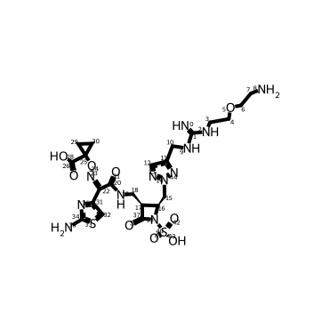 N=C(NCCOCCN)NCc1cnn(C[C@@H]2[C@H](CNC(=O)/C(=N\OC3(C(=O)O)CC3)c3csc(N)n3)C(=O)N2S(=O)(=O)O)n1